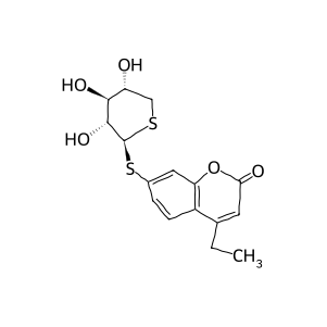 CCc1cc(=O)oc2cc(S[C@@H]3SC[C@@H](O)[C@H](O)[C@H]3O)ccc12